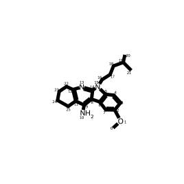 COc1ccc2c(c1)c1c(N)c3c(nc1n2CCCC(C)C)CCCC3